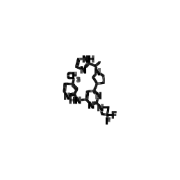 CC(c1ncc[nH]1)N1CCC(c2cc(Nc3cc(C(F)(F)F)ccn3)nc(N3CC(F)(F)C3)n2)C1